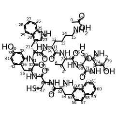 CC(=O)O.CC(C)[C@H](NC(=O)[C@H](CCCCN)NC(=O)[C@@H](Cc1c[nH]c2ccccc12)NC(=O)[C@H](Cc1ccc(O)cc1)NC(=O)[C@H](CS)NC(=O)[C@H](N)Cc1ccc2ccccc2c1)C(=O)N[C@@H](CS)C(=O)N[C@H](C(N)=O)[C@@H](C)O